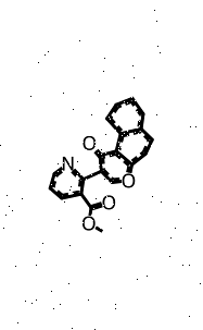 COC(=O)c1cccnc1-c1coc2ccc3ccccc3c2c1=O